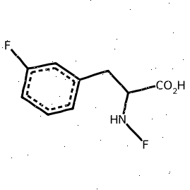 O=C(O)C(Cc1cccc(F)c1)NF